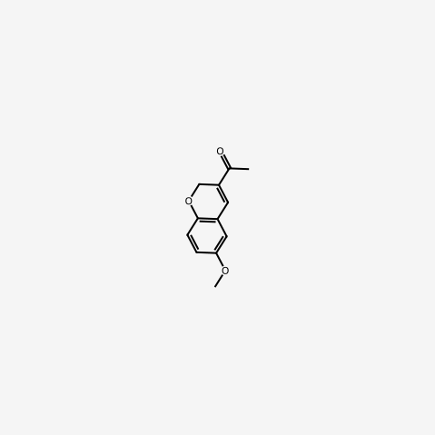 COc1ccc2c(c1)C=C(C(C)=O)CO2